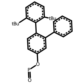 CC(C)(C)c1cccc(C(C)(C)C)c1-c1ccc(OP=O)cc1-c1ccccc1